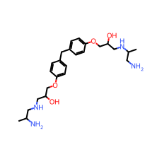 CC(N)CNCC(O)COc1ccc(Cc2ccc(OCC(O)CNC(C)CN)cc2)cc1